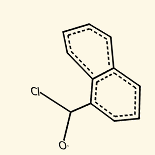 [O]C(Cl)c1cccc2ccccc12